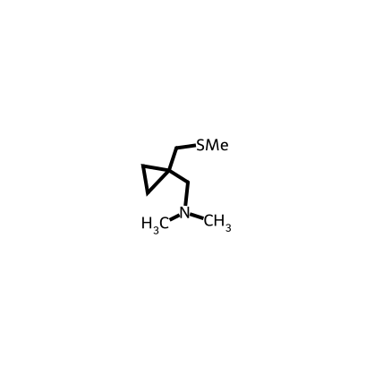 CSCC1(CN(C)C)CC1